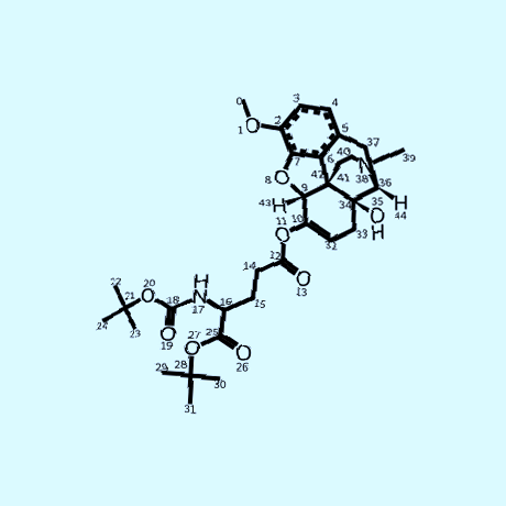 COc1ccc2c3c1O[C@H]1C(OC(=O)CCC(NC(=O)OC(C)(C)C)C(=O)OC(C)(C)C)=CC[C@@]4(O)[C@@H](C2)N(C)CC[C@]314